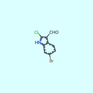 O=Cc1c(Cl)[nH]c2cc(Br)ccc12